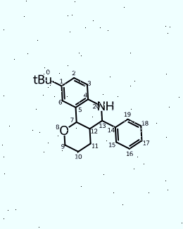 CC(C)(C)c1ccc2c(c1)C1OCCCC1C(c1ccccc1)N2